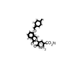 CC1CCC(=COc2cccc3c2CN(C(CC(C)C(=O)O)C(N)=O)C3=O)CC1